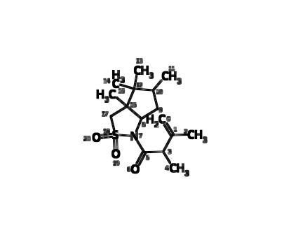 C=C(C)C(C)C(=O)N1C2CC(C)C(C)(C)C2(C)CS1(=O)=O